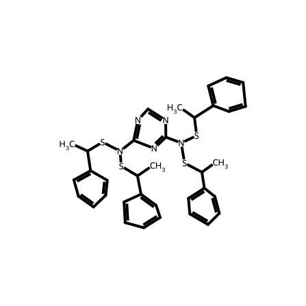 CC(SN(SC(C)c1ccccc1)c1ncnc(N(SC(C)c2ccccc2)SC(C)c2ccccc2)n1)c1ccccc1